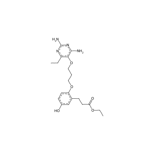 CCOC(=O)CCc1cc(O)ccc1OCCCOc1c(N)nc(N)nc1CC